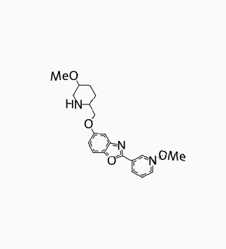 COC1CCC(COc2ccc3oc(-c4ccc[n+](OC)c4)nc3c2)NC1